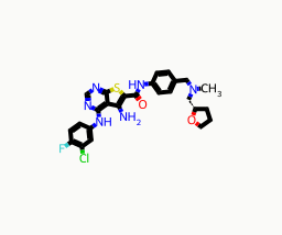 CN(Cc1ccc(NC(=O)c2sc3ncnc(Nc4ccc(F)c(Cl)c4)c3c2N)cc1)C[C@@H]1CCCO1